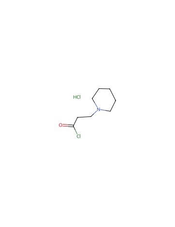 Cl.O=C(Cl)CCN1CCCCC1